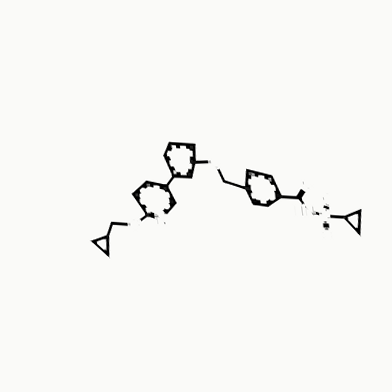 O=C(NS(=O)(=O)C1CC1)c1ccc(COc2cccc(-c3ccc(OCC4CC4)nc3)c2)cc1